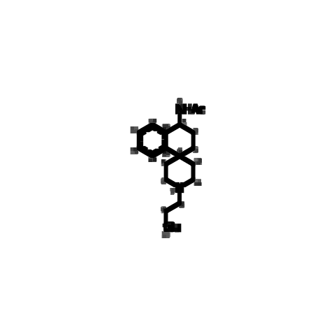 CC(=O)NC1CCC2(CCN(CCC(C)(C)C)CC2)c2ccccc21